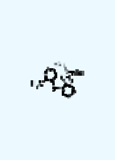 CCCCSCCCC.Cc1ccccc1Sc1ccccc1C